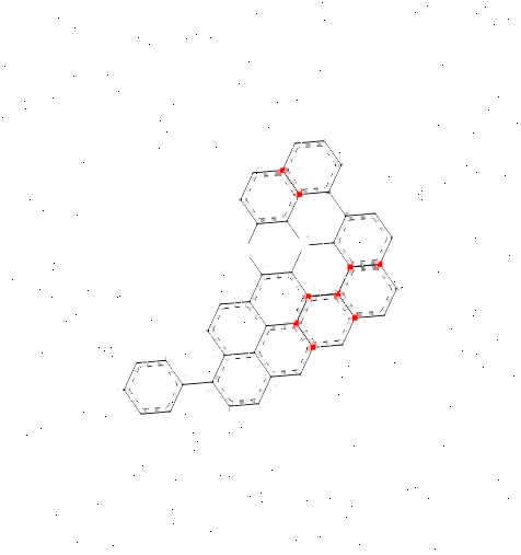 c1ccc(-c2cccc(-c3ccccc3)c2B2c3ccccc3Oc3c2c(-c2ccccc2)c2ccc4ccc(-c5ccccc5)c5ccc3c2c45)cc1